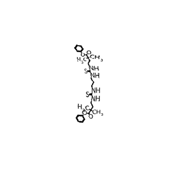 CC(C)(CCNC(=S)NCCCNC(=S)NCCC(C)(C)C(=O)Oc1ccccc1)C(=O)Oc1ccccc1